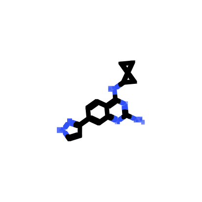 Nc1nc(NC2CC23CC3)c2ccc(-c3cc[nH]n3)cc2n1